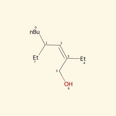 CCCCC(C=C(CC)CO)CC